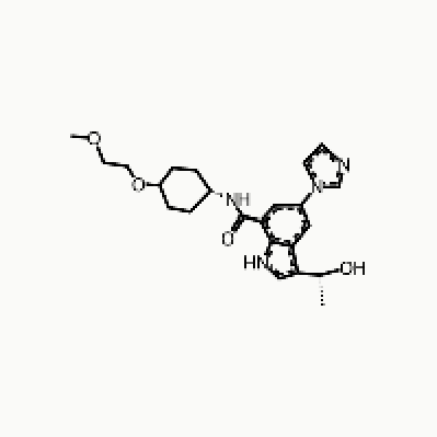 COCCO[C@H]1CC[C@H](NC(=O)c2cc(-n3ccnc3)cc3c([C@@H](C)O)c[nH]c23)CC1